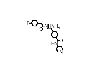 NC(CNC(=O)Cc1ccc(F)cc1)C1CCC(C(=O)Nc2ccncc2)CC1